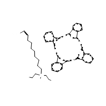 CCCCCCCC/C=C\CCCCCCCC[N+](C)(CCO)CCO.[Cu].c1ccc2c(c1)-c1nc-2nc2[nH]c(nc3nc(nc4[nH]c(n1)c1ccccc41)-c1ccccc1-3)c1ccccc21